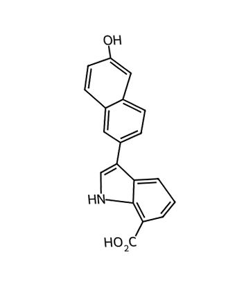 O=C(O)c1cccc2c(-c3ccc4cc(O)ccc4c3)c[nH]c12